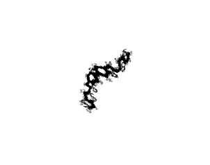 c1cc2sc(-c3cc4cc5sc6cc7cc(-c8cc9sccc9s8)sc7cc6c5cc4s3)cc2s1